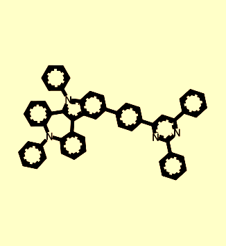 c1ccc(-c2cc(-c3ccc(-c4ccc5c(c4)c4c(n5-c5ccccc5)-c5ccccc5N(c5ccccc5)c5ccccc5-4)cc3)nc(-c3ccccc3)n2)cc1